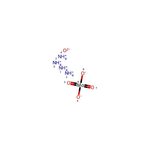 [NH4+].[NH4+].[NH4+].[NH4+].[O-2].[O]=[Mo](=[O])([O-])[O-]